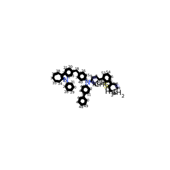 C=Cc1sc2c(C(=C)/C=C\C(=C/C)N(c3ccc(Cc4ccc5c6c(n(-c7ccccc7)c5c4)C=CCC=C6)cc3)c3ccc(-c4ccccc4)cc3)cccc2c1/C=C\C